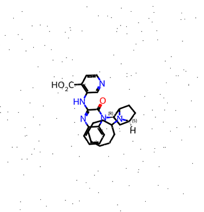 O=C(O)c1ccncc1Nc1nc2ccccc2n([C@@H]2C[C@@H]3CCC2N3C2CCCCCCC2)c1=O